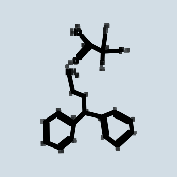 NCCC(c1ccccc1)c1ccccc1.O=C(O)C(F)(F)F